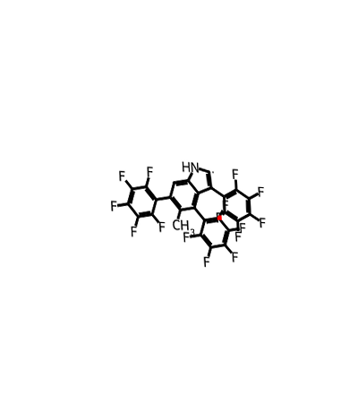 Cc1c(-c2c(F)c(F)c(F)c(F)c2F)cc2[nH][c]c(-c3c(F)c(F)c(F)c(F)c3F)c2c1-c1c(F)c(F)c(F)c(F)c1F